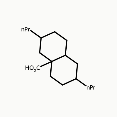 CCCC1CCC2(C(=O)O)CC(CCC)CCC2C1